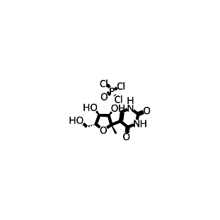 C[C@@]1(c2c[nH]c(=O)[nH]c2=O)O[C@H](CO)[C@@H](O)[C@H]1O.O=P(Cl)(Cl)Cl